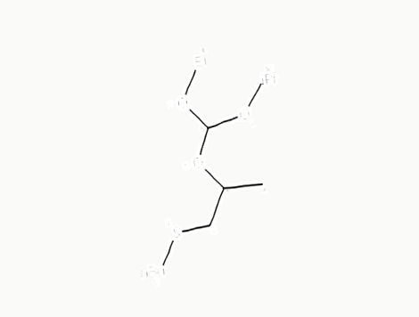 CCCCSCC(C)OC(OCC)OC(C)C